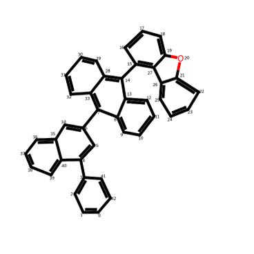 c1ccc(-c2cc(-c3c4ccccc4c(-c4cccc5oc6ccccc6c45)c4ccccc34)cc3ccccc23)cc1